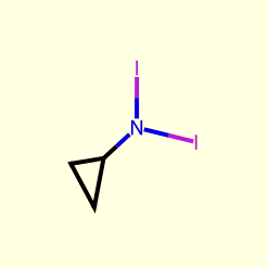 IN(I)C1CC1